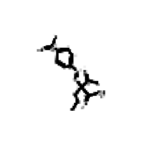 CCCC(N=Nc1ccc([N+](=O)[O-])cc1)(C(C)=O)C(=O)O